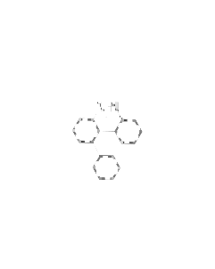 Nc1ccccc1-c1c(N)cccc1-c1ccccc1